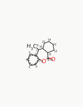 CC1c2ccccc2OC(=O)C2CCCCC21